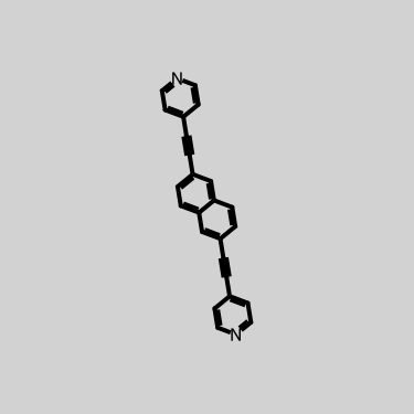 C(#Cc1ccc2cc(C#Cc3ccncc3)ccc2c1)c1ccncc1